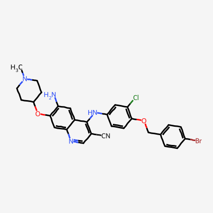 CN1CCC(Oc2cc3ncc(C#N)c(Nc4ccc(OCc5ccc(Br)cc5)c(Cl)c4)c3cc2N)CC1